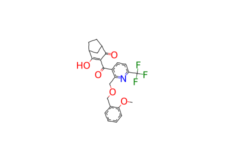 COc1ccccc1COCc1nc(C(F)(F)F)ccc1C(=O)C1=C(O)C2CCC(C2)C1=O